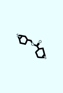 O=C(OCC1CCC2SC2C1)C1CCC2SC2C1